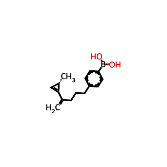 C=C(CCCc1ccc(B(O)O)cc1)C1=C[C@@H]1C